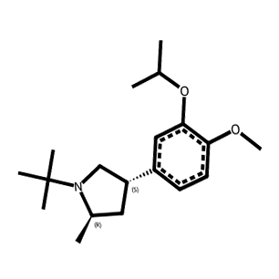 COc1ccc([C@@H]2C[C@@H](C)N(C(C)(C)C)C2)cc1OC(C)C